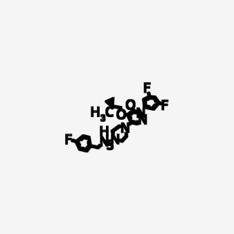 CC1(COc2c(N3CCN(SNCc4ccc(F)cc4)CC3)cnn(-c3cc(F)cc(F)c3)c2=O)CC1